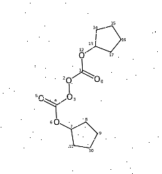 O=C(OOC(=O)OC1CCCC1)OC1CCCC1